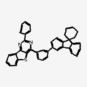 c1ccc(-c2nc(-c3cccc(-c4ccc5c(c4)-c4ccccc4C54CCCCC4)c3)c3sc4ccccc4c3n2)cc1